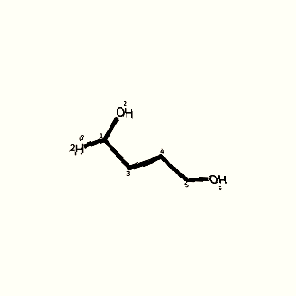 [2H]C(O)CCCO